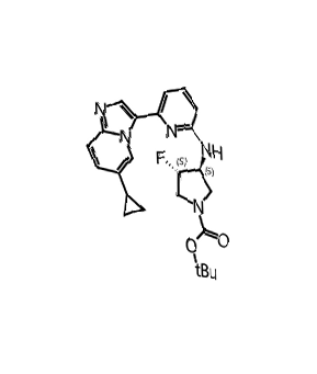 CC(C)(C)OC(=O)N1C[C@H](Nc2cccc(-c3cnc4ccc(C5CC5)cn34)n2)[C@@H](F)C1